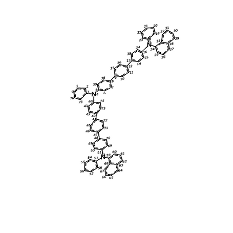 c1ccc(N(c2ccc(-c3ccc(-c4ccc(N(c5ccccc5)c5cccc6ccccc56)cc4)cc3)cc2)c2ccc(-c3ccc(-c4ccc(N(c5ccccc5)c5cccc6ccccc56)cc4)cc3)cc2)cc1